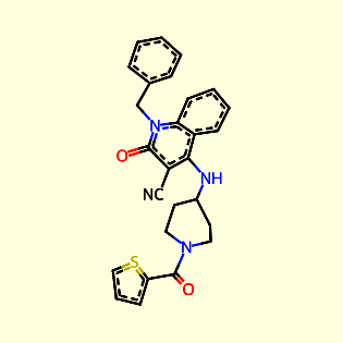 N#Cc1c(NC2CCN(C(=O)c3cccs3)CC2)c2ccccc2n(Cc2ccccc2)c1=O